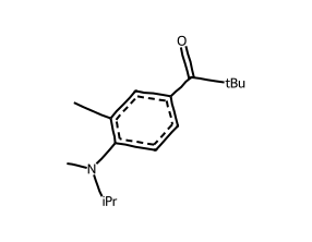 Cc1cc(C(=O)C(C)(C)C)ccc1N(C)C(C)C